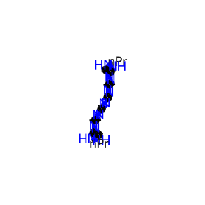 CCCC1Nc2cccc3c(N=Nc4cc(C)c(N=Nc5ccc(N=Nc6ccc(N=Nc7cc(C)c(N=Nc8ccc9c%10c(cccc8%10)NC(CCC)N9)cc7C)cc6)cc5)cc4C)ccc(c23)N1